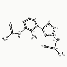 CC(=O)Nc1cccc(-c2csc(NC(N)=S)n2)c1C